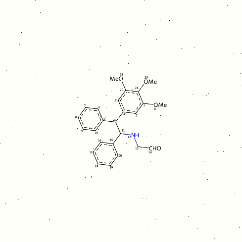 COc1cc(C(c2ccccc2)C(NCC=O)c2ccccc2)cc(OC)c1OC